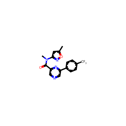 Cc1cc(N(C)C(=O)c2cncc(-c3ccc(C(F)(F)F)cc3)n2)no1